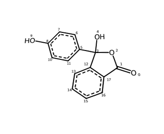 O=C1OC(O)(c2ccc(O)cc2)c2ccccc21